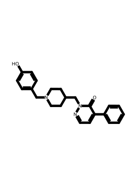 O=c1c(-c2ccccc2)ccnn1CC1CCN(Cc2ccc(O)cc2)CC1